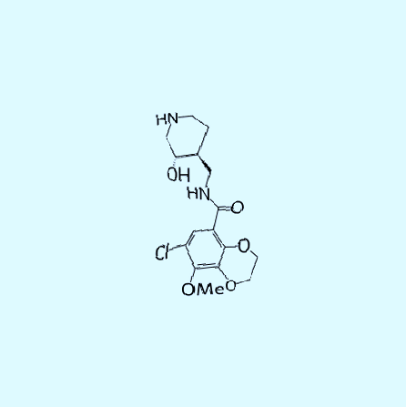 COc1c(Cl)cc(C(=O)NC[C@@H]2CCNC[C@H]2O)c2c1OCCO2